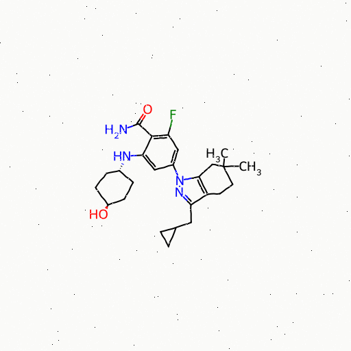 CC1(C)CCc2c(CC3CC3)nn(-c3cc(F)c(C(N)=O)c(N[C@H]4CC[C@H](O)CC4)c3)c2C1